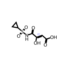 O=C(O)/C=C(\O)C(=O)NS(=O)(=O)C1CC1